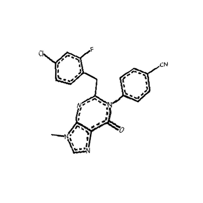 Cn1cnc2c(=O)n(-c3ccc(C#N)cc3)c(Cc3ccc(Cl)cc3F)nc21